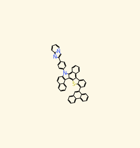 c1ccc2c(c1)cc(-c1cccc3c1sc1c3c3ccccc3c3c1c1c4ccccc4ccc1n3-c1ccc(-c3cn4ccccc4n3)cc1)c1ccccc12